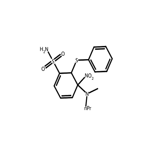 CCCN(C)C1([N+](=O)[O-])C=CC=C(S(N)(=O)=O)C1Sc1ccccc1